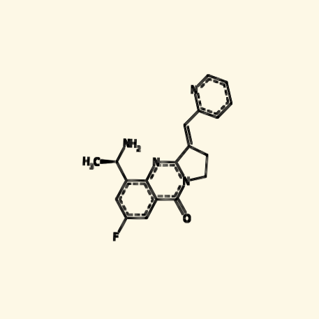 C[C@@H](N)c1cc(F)cc2c(=O)n3c(nc12)C(=Cc1ccccn1)CC3